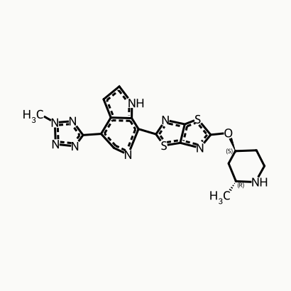 C[C@@H]1C[C@@H](Oc2nc3sc(-c4ncc(-c5nnn(C)n5)c5cc[nH]c45)nc3s2)CCN1